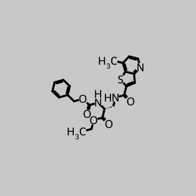 CCOC(=O)[C@@H](CNC(=O)c1cc2nccc(C)c2s1)NC(=O)OCc1ccccc1